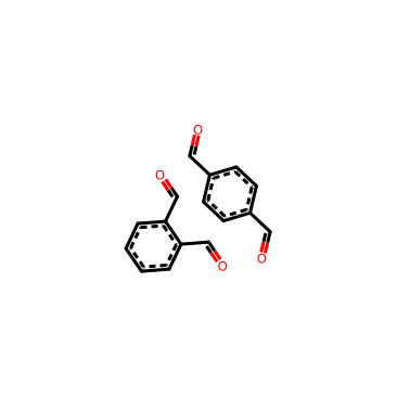 O=Cc1ccc(C=O)cc1.O=Cc1ccccc1C=O